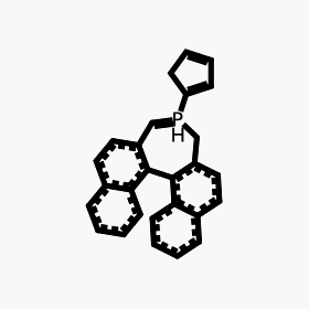 C1=CCC([PH]2=Cc3ccc4ccccc4c3-c3c(ccc4ccccc34)C2)=C1